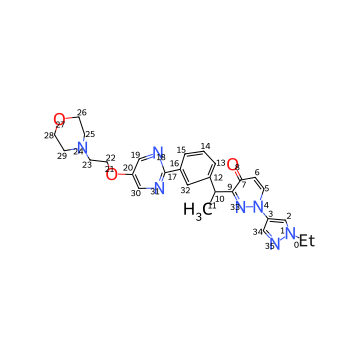 CCn1cc(-n2ccc(=O)c(C(C)c3cccc(-c4ncc(OCCN5CCOCC5)cn4)c3)n2)cn1